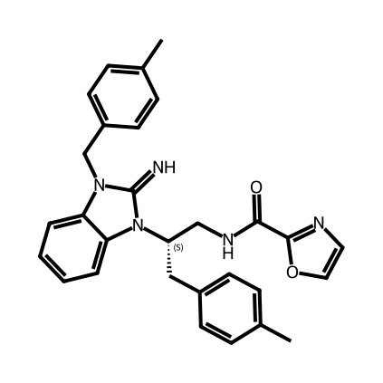 Cc1ccc(C[C@@H](CNC(=O)c2ncco2)n2c(=N)n(Cc3ccc(C)cc3)c3ccccc32)cc1